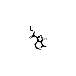 CCOC(=O)c1n[nH]c2c1CCOC2C